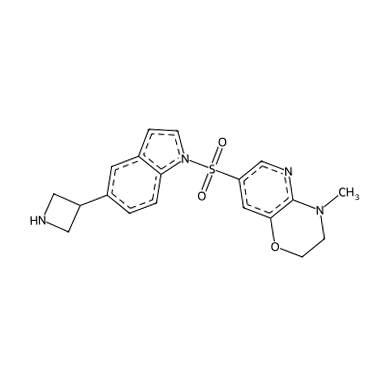 CN1CCOc2cc(S(=O)(=O)n3ccc4cc(C5CNC5)ccc43)cnc21